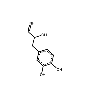 N=CC(O)Cc1ccc(O)c(O)c1